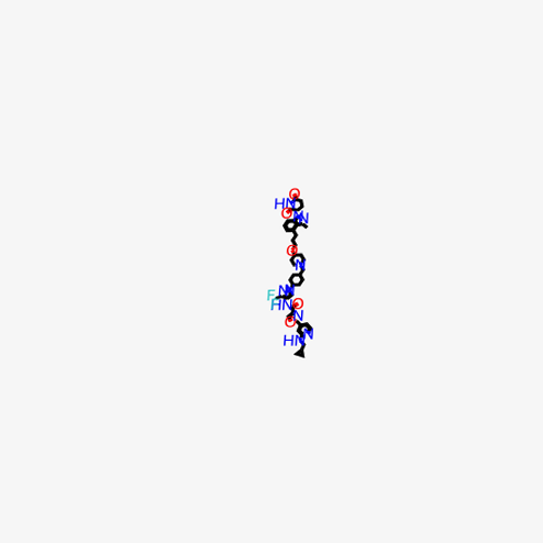 Cc1nn(C2CCC(=O)NC2=O)c2cccc(CCCOC3CCN(CC4CCC(n5cc(NC(=O)c6coc(-c7ccnc(NCC8CC8)c7)n6)c(C(F)F)n5)CC4)CC3)c12